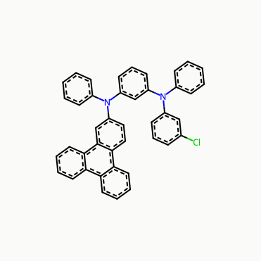 Clc1cccc(N(c2ccccc2)c2cccc(N(c3ccccc3)c3ccc4c5ccccc5c5ccccc5c4c3)c2)c1